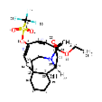 C=C1/C=C\C(OS(=O)(=O)C(F)(F)F)=C/C[C@]23CCCC[C@@H]2[C@H](C1)N(C(=O)OCC)CC3